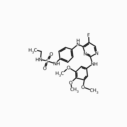 CCNS(=O)(=O)Nc1ccc(Nc2nc(Nc3cc(OC)c(OC)c(OC)c3)ncc2F)cc1